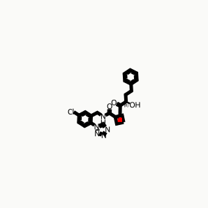 O=C([C@H](O)CCc1ccccc1)N1CC2CC1(C(=O)NCc1cc(Cl)ccc1-n1cnnn1)C2